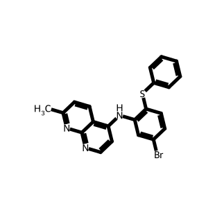 Cc1ccc2c(Nc3cc(Br)ccc3Sc3ccccc3)ccnc2n1